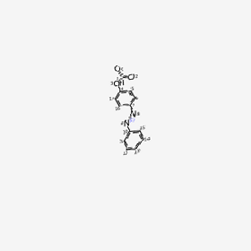 O=[SH](=O)Oc1ccc(/N=N/c2ccccc2)cc1